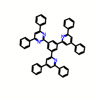 c1ccc(-c2cc(-c3ccccc3)nc(-c3cc(-c4cc(-c5ccccc5)cc(-c5ccccc5)n4)cc(-c4nc(-c5ccccc5)cc(-c5ccccc5)n4)c3)c2)cc1